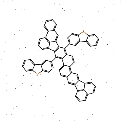 c1cc2c3c(cccc3c1)-c1cc3c(ccc4c3ccc3c(-c5ccc6sc7ccccc7c6c5)c5c(c(-c6ccc7sc8ccccc8c7c6)c34)-c3cccc4c3c-5cc3ccccc34)cc1-2